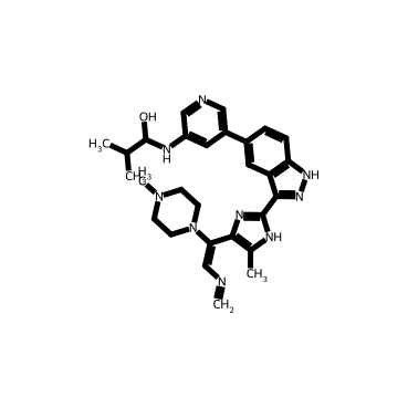 C=N/C=C(\c1nc(-c2n[nH]c3ccc(-c4cncc(NC(O)C(C)C)c4)cc23)[nH]c1C)N1CCN(C)CC1